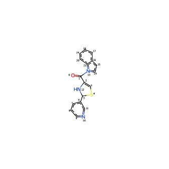 O=C(C1=CSC(c2cccnc2)N1)n1ccc2ccccc21